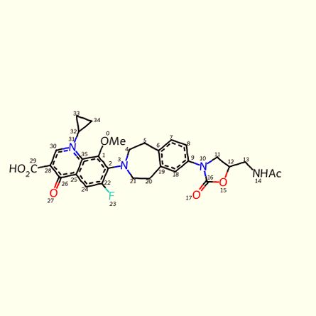 COc1c(N2CCc3ccc(N4CC(CNC(C)=O)OC4=O)cc3CC2)c(F)cc2c(=O)c(C(=O)O)cn(C3CC3)c12